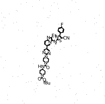 CCc1nc2ccc(-c3cnc(N4CCN(C(=O)NC5CCN(C(=O)OC(C)(C)C)CC5)CC4)nc3)cn2c1N(C)c1nc(-c2ccc(F)cc2)c(C#N)s1